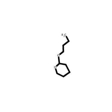 FC(F)(F)CCCOC1CCCCO1